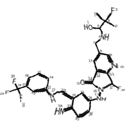 CC(C)(F)C(O)NCc1cnc2c(c1)C(=O)N(NC1=C/C(=C/Nc3cccc(C(F)(F)F)c3)C(=N)C=C1)C2F